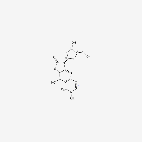 CN(C)/C=N\c1nc(O)c2sc(=O)n([C@H]3C[C@H](O)[C@@H](CO)O3)c2n1